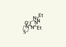 CCc1nc2cc([N+]3([O-])CCSCC3)nc(CC)n2n1